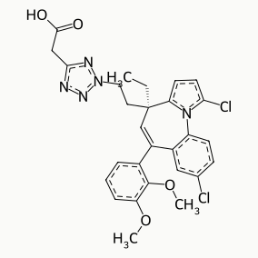 CC[C@@]1(CCn2nnc(CC(=O)O)n2)C=C(c2cccc(OC)c2OC)c2cc(Cl)ccc2-n2c(Cl)ccc21